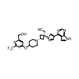 N#CC[C@]1(n2cc(-c3ncnc4[nH]ccc34)cn2)C[C@H](N2CCC(Oc3cc(CO)nc(C(F)(F)F)n3)CC2)C1